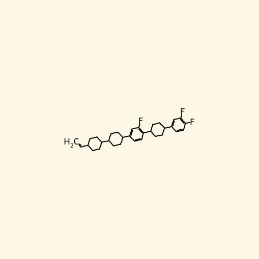 C=CC1CCC(C2CCC(c3ccc(C4CCC(c5ccc(F)c(F)c5)CC4)c(F)c3)CC2)CC1